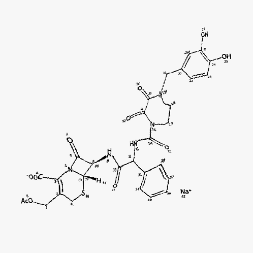 CC(=O)OCC1=C(C(=O)[O-])N2C(=O)[C@@H](NC(=O)C(NC(=O)N3CCN(Cc4ccc(O)c(O)c4)C(=O)C3=O)c3ccccc3)[C@@H]2SC1.[Na+]